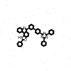 c1ccc(-c2nc(-c3ccccc3)nc(-c3ccc(-c4cccc(-c5nc6ccccc6c6c7c(ccc56)OC(c5ccccc5)N7)c4)cc3)n2)cc1